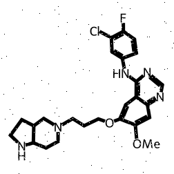 COc1cc2ncnc(Nc3ccc(F)c(Cl)c3)c2cc1OCCCN1CCC2NCCC2C1